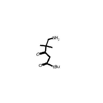 CC(C)(C)C(=O)CC(=O)C(C)(C)CN